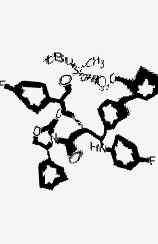 CC(C)(C)[Si](C)(C)OC/C(=C\C[C@@H](C(=O)N1C(=O)OC[C@@H]1c1ccccc1)[C@H](Nc1ccc(F)cc1)c1ccc(-c2ccccc2C(=O)O)cc1)c1ccc(F)cc1